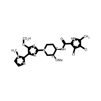 CO[C@H]1CN(c2nc(-c3nccn3C)c(OC(=O)O)s2)CC[C@H]1NC(=O)c1[nH]c(C)c(Cl)c1Cl